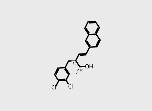 C[C@@H](O)[C@H](C=Cc1ccc2ccccc2c1)Cc1ccc(Cl)c(Cl)c1